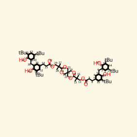 CC(C)(C)c1cc(Cc2cc(CCC(=O)OCC(C)(C)C3OCC4(CO3)COC(C(C)(C)COC(=O)CCc3cc(Cc5cc(C(C)(C)C)cc(C(C)(C)C)c5O)c(O)c(C(C)(C)C)c3)OC4)cc(C(C)(C)C)c2O)c(O)c(C(C)(C)C)c1